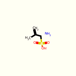 C=C(C)CS(=O)(=O)O.N